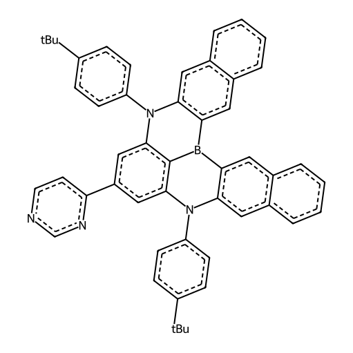 CC(C)(C)c1ccc(N2c3cc4ccccc4cc3B3c4cc5ccccc5cc4N(c4ccc(C(C)(C)C)cc4)c4cc(-c5ccncn5)cc2c43)cc1